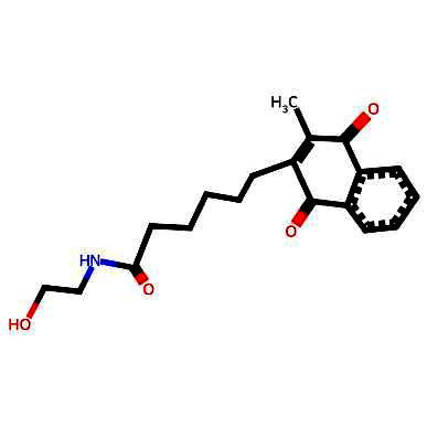 CC1=C(CCCCCC(=O)NCCO)C(=O)c2ccccc2C1=O